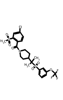 CC(C)(C1CCN(C(=O)c2ccc(Cl)cc2S(C)(=O)=O)CC1)S(=O)(=O)c1cccc(OC(F)(F)F)c1